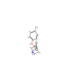 Fc1ccc(O[C@H]2CN3CCC2CC3)cc1